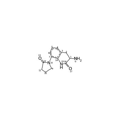 NC1Cc2cccc(N3CCCC3=O)c2NC1=O